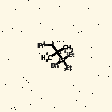 CC[Si](CC)(CC)C(C)(C)CC(C)C